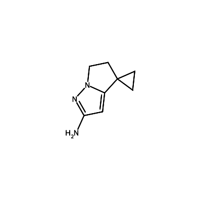 Nc1cc2n(n1)CCC21CC1